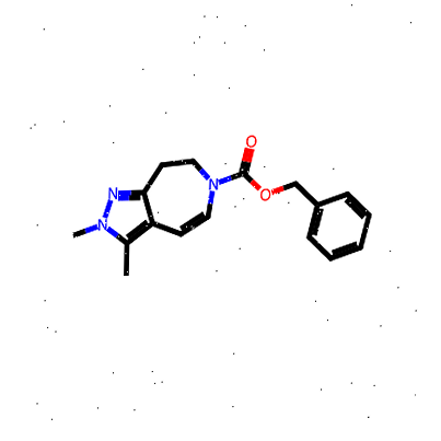 Cc1c2c(nn1C)CCN(C(=O)OCc1ccccc1)C=C2